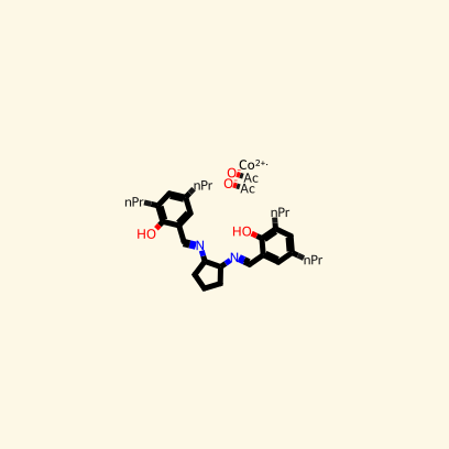 CC(=O)[O-].CC(=O)[O-].CCCc1cc(C=NC2CCCC2N=Cc2cc(CCC)cc(CCC)c2O)c(O)c(CCC)c1.[Co+2]